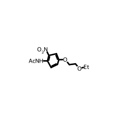 CCOCCOc1ccc(NC(C)=O)c([N+](=O)[O-])c1